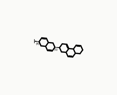 I[C@H]1C=CC2C[C@@H](C3CC=C4C(C=CC5CCC=CC45)C3)C=CC2C1